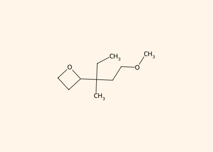 CCC(C)(CCOC)C1CCO1